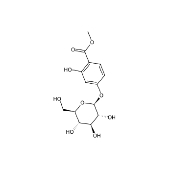 COC(=O)c1ccc(O[C@@H]2O[C@H](CO)[C@@H](O)[C@H](O)[C@H]2O)cc1O